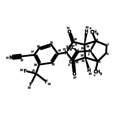 CC(=O)N1C2(C)CCC1(C)[C@H]1C(=O)N(c3ccc(C#N)c(C(F)(F)F)c3)C(=O)[C@H]12